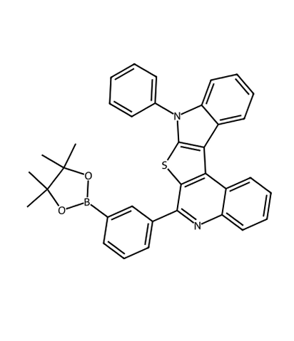 CC1(C)OB(c2cccc(-c3nc4ccccc4c4c3sc3c4c4ccccc4n3-c3ccccc3)c2)OC1(C)C